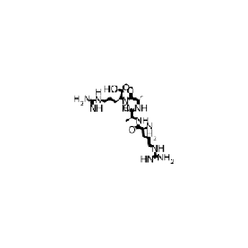 C[C@H](NC(=O)[C@H](C)NC(=O)[C@@H](N)CCCNC(=N)N)C(=O)N[C@@H](CCCNC(=N)N)C(=O)O